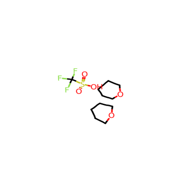 C1CCOCC1.C1CCOCC1.O=S(=O)(O)C(F)(F)F